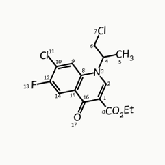 CCOC(=O)c1cn(C(C)CCl)c2cc(Cl)c(F)cc2c1=O